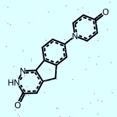 O=c1ccn(-c2ccc3c(c2)Cc2cc(=O)[nH]nc2-3)cc1